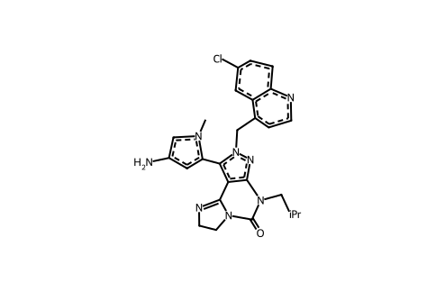 CC(C)CN1C(=O)N2CCN=C2c2c1nn(Cc1ccnc3ccc(Cl)cc13)c2-c1cc(N)cn1C